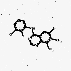 Cc1c(Br)cc2c(Nc3cccc(Cl)c3F)ncnc2c1[N+](=O)[O-]